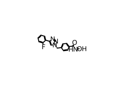 O=C(NO)c1ccc(Cn2cc(-c3ccccc3F)nn2)cc1